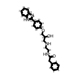 O=C(Cc1ccccc1)NCCNCC(O)COc1ccc(-c2nc3ccccc3[nH]2)cc1